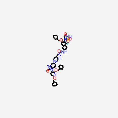 Cn1c(=O)n(-c2ccc(OCc3ccccc3)nc2OCc2ccccc2)c2ccc(N3CCC(CNC(=O)Nc4ccc5c(F)c(N6CC(=O)NS6(=O)=O)c(OCc6ccccc6)cc5c4)CC3)cc21